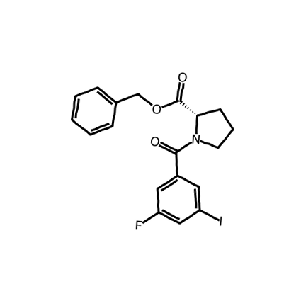 O=C(OCc1ccccc1)[C@@H]1CCCN1C(=O)c1cc(F)cc(I)c1